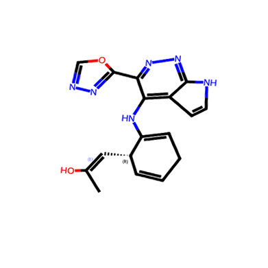 C/C(O)=C\[C@H]1C=CCC=C1Nc1c(-c2nnco2)nnc2[nH]ccc12